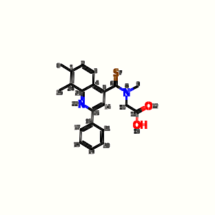 Cc1ccc2c(C(=S)N(C)CC(=O)O)cc(-c3ccccc3)nc2c1C